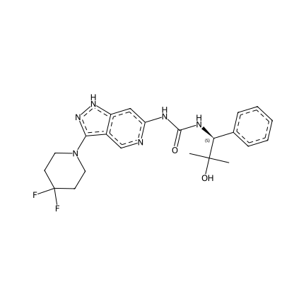 CC(C)(O)[C@@H](NC(=O)Nc1cc2[nH]nc(N3CCC(F)(F)CC3)c2cn1)c1ccccc1